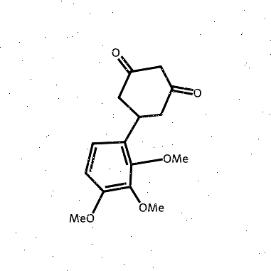 COc1ccc(C2CC(=O)CC(=O)C2)c(OC)c1OC